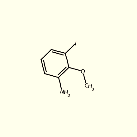 COc1c(N)cccc1I